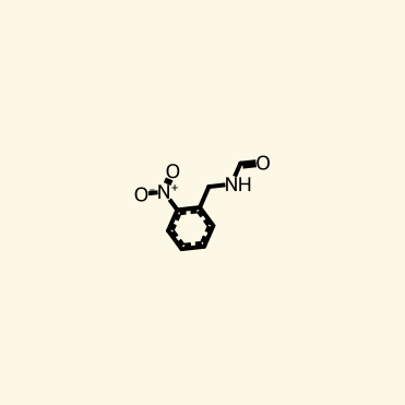 O=CNCc1ccccc1[N+](=O)[O-]